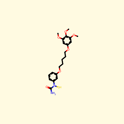 COc1cc(OCCCCCOc2cccc(N(S)C(N)=O)c2)cc(OC)c1OC